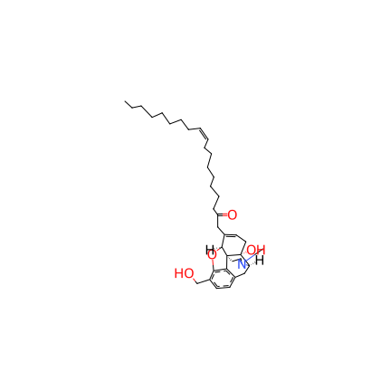 CCCCCCCC/C=C\CCCCCCCC(=O)CC1=CC[C@@]2(O)[C@H]3Cc4ccc(CO)c5c4[C@@]2(CCN3C)[C@H]1O5